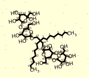 CCCCCCCCC(CCCCCCCC)(CO[C@@H]1OC(CO)[C@@H](O[C@H]2OC(O)(CO)CC(O)C2O)C(O)C1O)CO[C@@H]1OC(CO)[C@@H](O[C@@H]2OC(CO)[C@@H](O)[C@H](O)C2O)[C@H](O)C1O